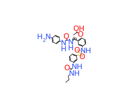 CCCNC(=O)Nc1cccc(S(=O)(=O)Nc2cccc([C@@H](CC(=O)O)NC(=O)Nc3ccc(N)cc3)c2)c1